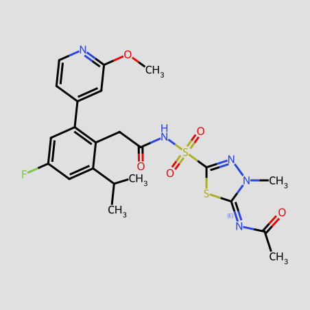 COc1cc(-c2cc(F)cc(C(C)C)c2CC(=O)NS(=O)(=O)c2nn(C)/c(=N\C(C)=O)s2)ccn1